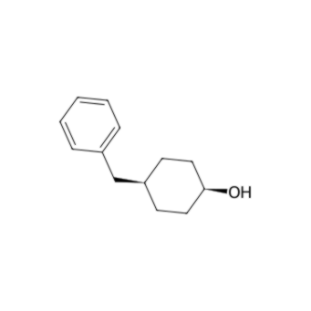 O[C@H]1CC[C@@H](Cc2ccccc2)CC1